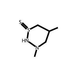 CC1CN(C)NS(=S)C1